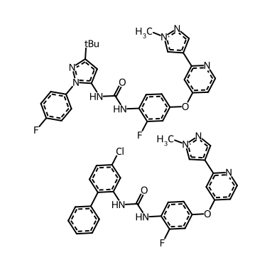 Cn1cc(-c2cc(Oc3ccc(NC(=O)Nc4cc(C(C)(C)C)nn4-c4ccc(F)cc4)c(F)c3)ccn2)cn1.Cn1cc(-c2cc(Oc3ccc(NC(=O)Nc4cc(Cl)ccc4-c4ccccc4)c(F)c3)ccn2)cn1